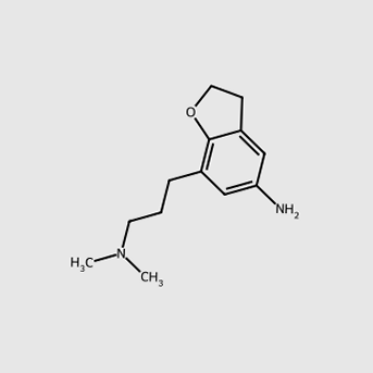 CN(C)CCCc1cc(N)cc2c1OCC2